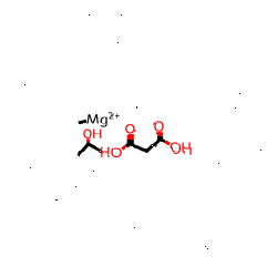 CC(C)O.O=C(O)CC(=O)O.[CH3][Mg+2]